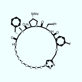 CN[C@H]1C[C@@H]2C(=O)N(C)[C@@H](Cc3ccccc3)C(=O)NCCCCCCCCn3cc(nn3)COc3cc(F)ccc3C(=O)N[C@H](CC(C)C)C(=O)N2C1